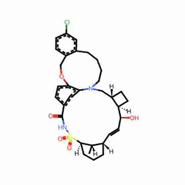 C[C@H]1[C@@H]2/C=C/[C@H](O)[C@@H]3CC[C@H]3CN3CCCCc4cc(Cl)ccc4COc4ccc(cc43)C(=O)NS(=O)(=O)[C@@H]1CCC2